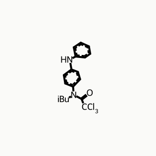 CCC(C)N(C(=O)C(Cl)(Cl)Cl)c1ccc(Nc2ccccc2)cc1